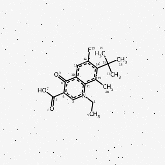 CCn1cc(C(=O)O)c(=O)c2cc(F)c(C(C)(C)C)c(C)c21